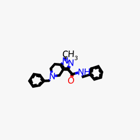 Cn1nc(C(=O)NCc2ccccc2)c2c1CCN(Cc1ccccc1)C2